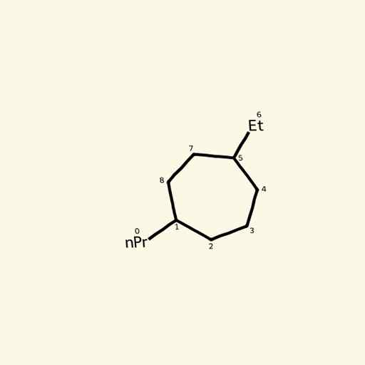 CCCC1CCCC(CC)CC1